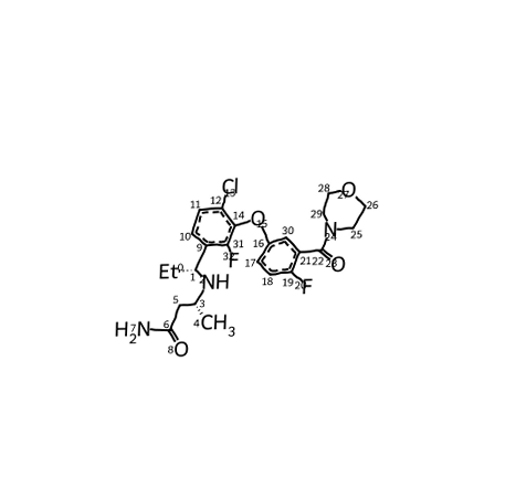 CC[C@@H](N[C@H](C)CC(N)=O)c1ccc(Cl)c(Oc2ccc(F)c(C(=O)N3CCOCC3)c2)c1F